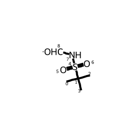 CC(C)(C)S(=O)(=O)N[C]=O